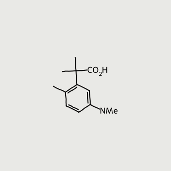 CNc1ccc(C)c(C(C)(C)C(=O)O)c1